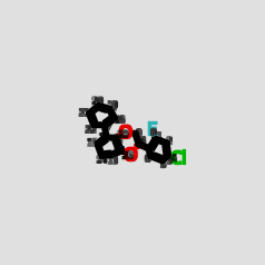 Fc1cc(Cl)ccc1C1COc2c(cccc2-c2c[c]ccc2)O1